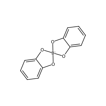 c1ccc2c(c1)O[B-]1(O2)Oc2ccccc2O1